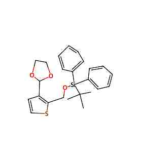 CC(C)(C)[Si](OCc1sccc1C1OCCO1)(c1ccccc1)c1ccccc1